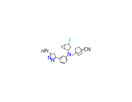 CCCC1=NN=C(c2cccc(N(CC34CCC(C#N)(CC3)C4)C3CC(F)C4CC43)c2)C1